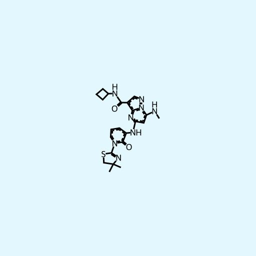 CNc1cc(Nc2cccn(C3=NC(C)(C)CS3)c2=O)nc2c(C(=O)NC3CCC3)cnn12